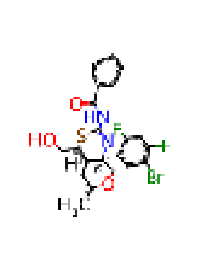 C[C@H]1C[C@H]2[C@@H](CO)SC(NC(=O)c3ccccc3)=N[C@@]2(c2cc(Br)c(F)cc2F)CO1